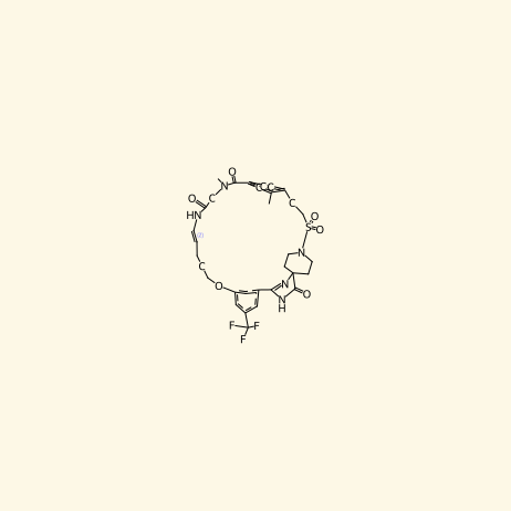 Cc1cc2ccc1CCS(=O)(=O)N1CCC3(CC1)N=C(NC3=O)c1cc(cc(C(F)(F)F)c1)OCCC/C=C\NC(=O)CN(C)C2=O